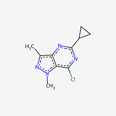 Cc1nn(C)c2c(Cl)nc(C3CC3)nc12